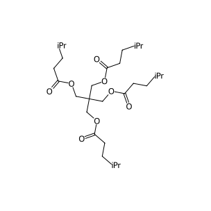 CC(C)CCC(=O)OCC(COC(=O)CCC(C)C)(COC(=O)CCC(C)C)COC(=O)CCC(C)C